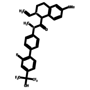 C=CN1CCc2cc(SC)ccc2C1C(=O)N(C)c1ccc(-c2ccc(C(O)(C(F)(F)F)C(F)(F)F)cc2F)cc1